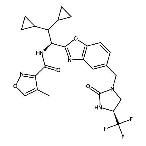 Cc1conc1C(=O)N[C@H](c1nc2cc(CN3C[C@@H](C(F)(F)F)NC3=O)ccc2o1)C(C1CC1)C1CC1